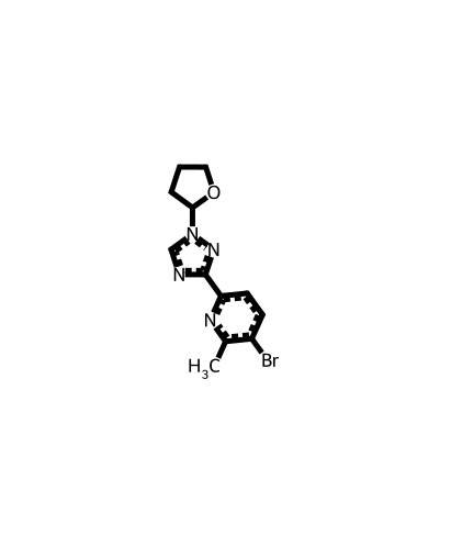 Cc1nc(-c2ncn(C3CCCO3)n2)ccc1Br